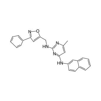 Cc1cc(Nc2ccc3ccccc3c2)nc(NCc2cc(-c3ccccc3)no2)n1